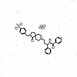 CS(=O)(=O)c1ccc(CN2CCC3(CCN(CCC(NC(=O)c4ccncc4)c4ccccc4)CC3)C2=O)cc1.Cl.Cl